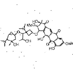 COc1cc(O)c2c(c1)C(=O)c1cc3c(c(O)c1C2=O)C(OC1CC(C(OC2CC(C)(O)C(N(C)C)CO2)C(C)O)(N(C)C)C1)C(OC)C(C)(O)C3=O